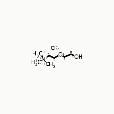 C[N+](C)(C)CCOCCO.[Cl-]